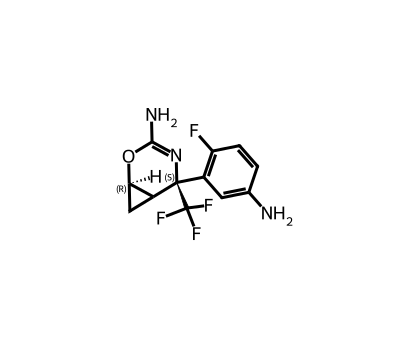 NC1=N[C@@](c2cc(N)ccc2F)(C(F)(F)F)C2C[C@H]2O1